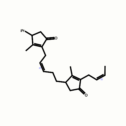 C/C=C\CC1=C(C)C(CC/C=C\CC2=C(C)C(C(C)C)CC2=O)CC1=O